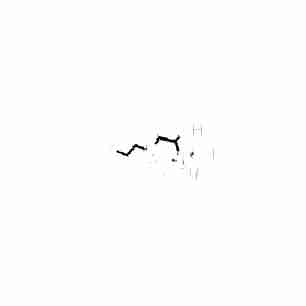 CC(CNCCF)[N+](C)(C)C